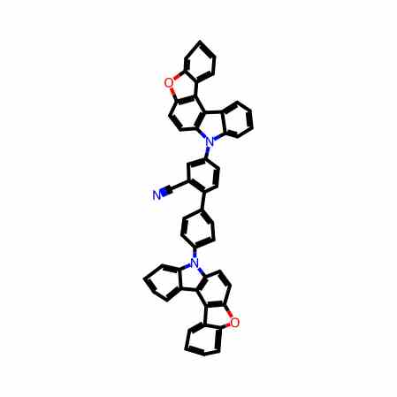 N#Cc1cc(-n2c3ccccc3c3c4c(ccc32)oc2ccccc24)ccc1-c1ccc(-n2c3ccccc3c3c4c(ccc32)oc2ccccc24)cc1